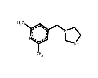 Cc1cc(CN2CCNC2)cc(C(F)(F)F)n1